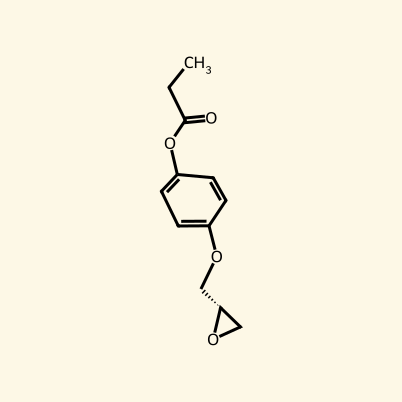 CCC(=O)Oc1ccc(OC[C@@H]2CO2)cc1